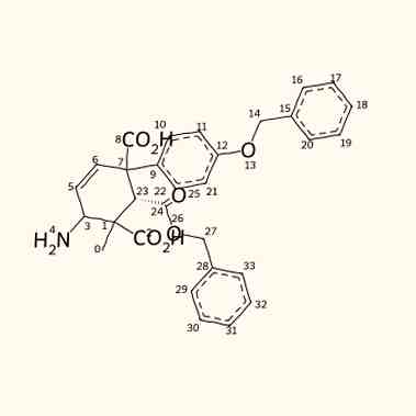 CC1(C(=O)O)C(N)C=CC(C(=O)O)(c2ccc(OCc3ccccc3)cc2)[C@@H]1C(=O)OCc1ccccc1